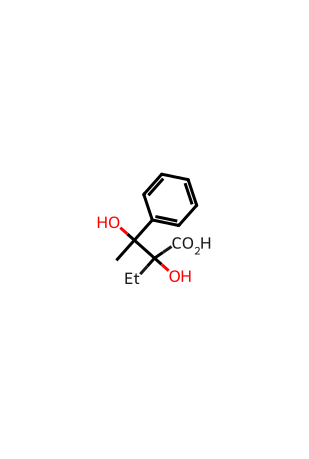 CCC(O)(C(=O)O)C(C)(O)c1ccccc1